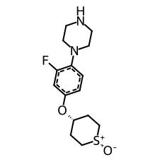 [O-][S@+]1CC[C@H](Oc2ccc(N3CCNCC3)c(F)c2)CC1